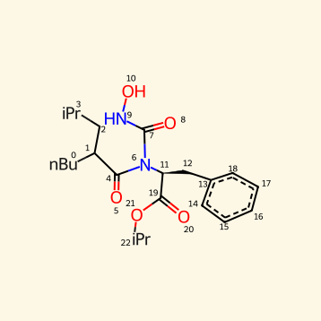 CCCCC(CC(C)C)C(=O)N(C(=O)NO)[C@@H](Cc1ccccc1)C(=O)OC(C)C